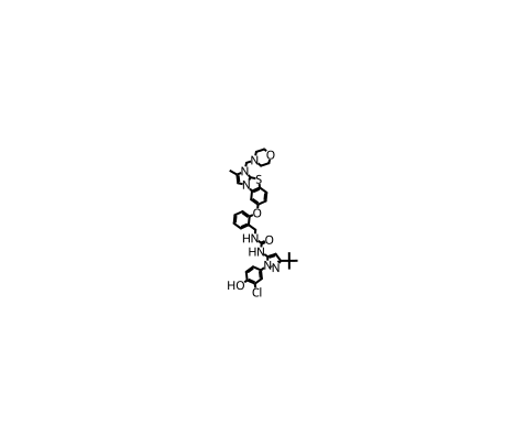 CC1=CN2c3cc(Oc4ccccc4CNC(=O)Nc4cc(C(C)(C)C)nn4-c4ccc(O)c(Cl)c4)ccc3SC2N1CN1CCOCC1